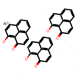 O=C1C=Cc2cccc3ccc([O-])c1c23.O=C1C=Cc2cccc3ccc([O-])c1c23.O=C1C=Cc2cccc3ccc([O-])c1c23.[Al+3]